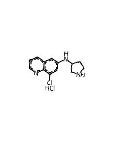 Cl.Clc1cc(NC2CCNC2)cc2cccnc12